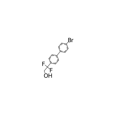 OCC(F)(F)c1ccc(-c2ccc(Br)cc2)cc1